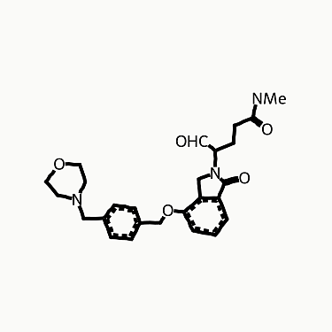 CNC(=O)CCC(C=O)N1Cc2c(OCc3ccc(CN4CCOCC4)cc3)cccc2C1=O